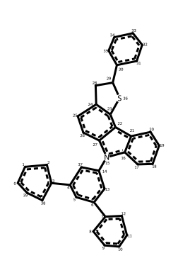 c1ccc(-c2cc(-c3ccccc3)cc(-n3c4ccccc4c4c5c(ccc43)CC(c3ccccc3)S5)c2)cc1